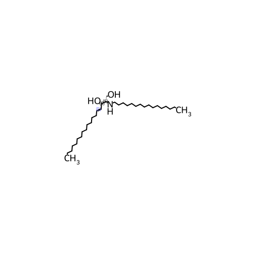 CCCCCCCCCCCCC/C=C/[C@H](O)[C@H](CO)NCCCCCCCCCCCCCCCC